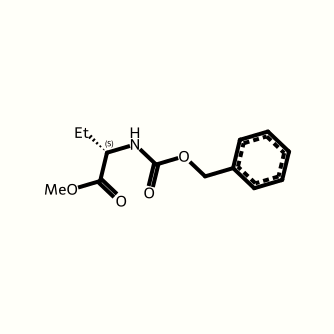 CC[C@H](NC(=O)OCc1ccccc1)C(=O)OC